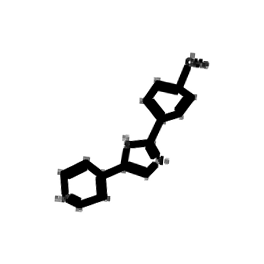 COc1ccc(-c2ncc(-c3ccncc3)s2)cc1